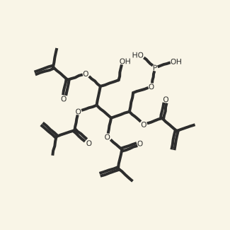 C=C(C)C(=O)OC(CO)C(OC(=O)C(=C)C)C(OC(=O)C(=C)C)C(COP(O)O)OC(=O)C(=C)C